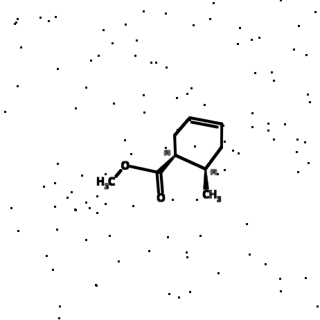 COC(=O)[C@H]1CC=CC[C@H]1C